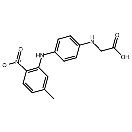 Cc1ccc([N+](=O)[O-])c(Nc2ccc(NCC(=O)O)cc2)c1